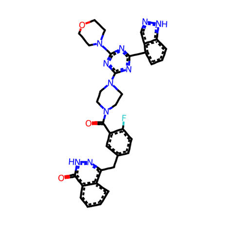 O=C(c1cc(Cc2n[nH]c(=O)c3ccccc23)ccc1F)N1CCN(c2nc(-c3cccc4[nH]ncc34)nc(N3CCOCC3)n2)CC1